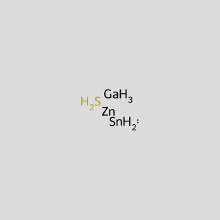 S.[GaH3].[SnH2].[Zn]